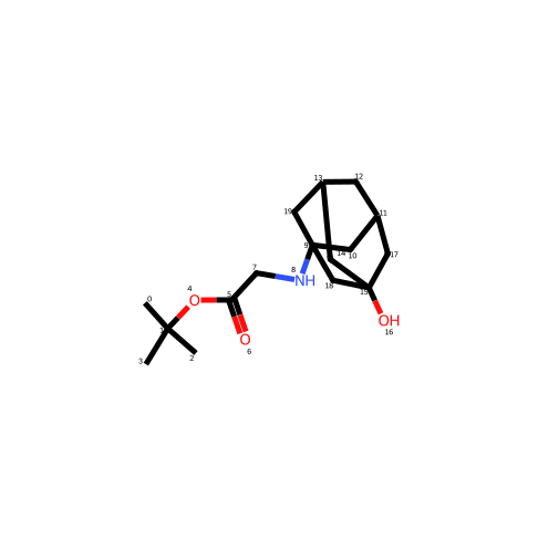 CC(C)(C)OC(=O)CNC12CC3CC(CC(O)(C3)C1)C2